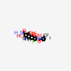 CC1[C@]2(C)C(C(N)=O)=C(O)[C@@H](N(C)C)[C@@H]3C[C@@H]4Cc5c(F)cc(NC(=O)c6cccc(C(F)(F)F)c6)c(O)c5C(=O)C4=C(O)[C@@]132